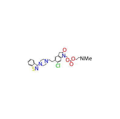 CNCCOC(=O)OCN1C(=O)Cc2cc(CCN3CCN(c4nsc5ccccc45)CC3)c(Cl)cc21